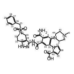 CN1CCN(c2cc(C(N)=O)c(C(=O)Nc3n[nH]c4c3CN(S(=O)(=O)Cc3ccccc3)CC4)cc2-n2cccc2C(=O)O)CC1